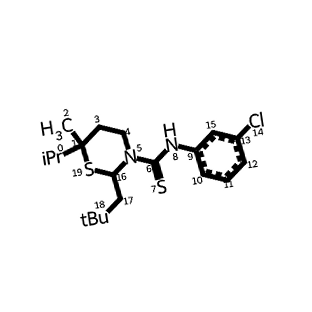 CC(C)C1(C)CCN(C(=S)Nc2cccc(Cl)c2)C(CC(C)(C)C)S1